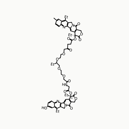 CCc1c2c(nc3ccc(C)cc13)-c1cc3c(c(=O)n1C2)COC(=O)[C@@]3(CC)OC(=O)CCC(=O)COCCOC(CC)COCCOCC(=O)NCC(=O)O[C@]1(CC)C(=O)OCc2c1cc1n(c2=O)Cc2c-1nc1ccc(O)cc1c2CC